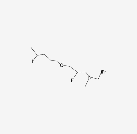 CC(C)CN(C)CC(F)COCCCC(C)I